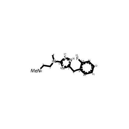 CNCCN(C)c1nc(Cc2ccccc2F)ns1